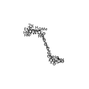 CC[C@@H]1C(=N)N(C=N)c2cnc(Nc3ccc(C(=O)NCCOCCOCCOCCOCC(=O)Nc4cccc5c4CN(C4CCC(=O)NC4=O)C5=O)cc3OC)nc2N1C1CCCC1